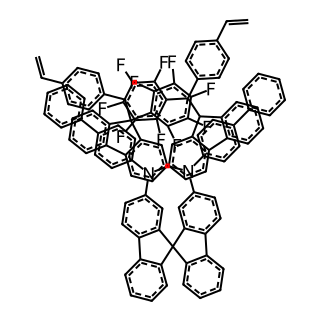 C=Cc1ccc(CC2(c3c(F)c(F)c(F)c(F)c3F)c3ccccc3-c3ccc(N(c4ccc(-c5ccccc5)cc4)c4ccc5c(c4)C4(c6ccccc6-c6ccc(N(c7ccc(-c8ccccc8)cc7)c7ccc8c(c7)C(C(c7ccc(C=C)cc7)c7c(F)c(F)c(F)c(F)c7F)c7ccccc7-8)cc64)c4ccccc4-5)cc32)cc1